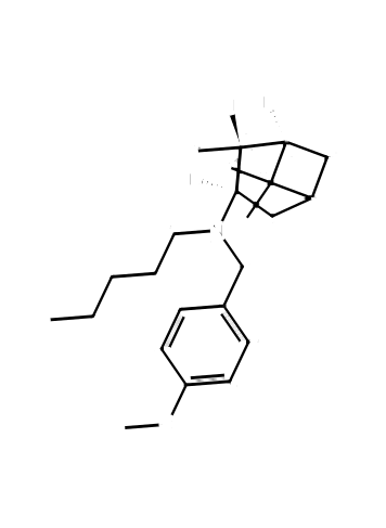 CCCCCN(Cc1ccc(OC)cc1)[C@@H]1CC2C[C@H]([C@H]1C)C2(C)C